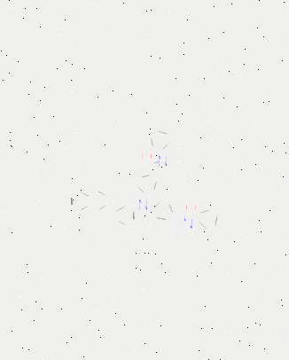 c1cc(-c2ccc3ccccc3c2)cc(-n2c3ccc(-c4nc5ccccc5o4)cc3c3cc(-c4nc5ccccc5o4)ccc32)c1